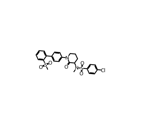 CN(C1CCCN(c2ccc(-c3ccccc3S(C)(=O)=O)cc2)C1=O)S(=O)(=O)c1ccc(Cl)cc1